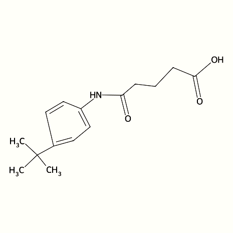 CC(C)(C)c1ccc(NC(=O)CCCC(=O)O)cc1